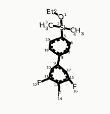 CCO[Si](C)(C)c1ccc(-c2cc(F)c(F)c(F)c2)cc1